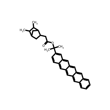 CC1C2CC(CC(=O)OC(C)(C)c3ccc4cc5cc6cc7ccccc7cc6cc5cc4c3)C(C2)C1C